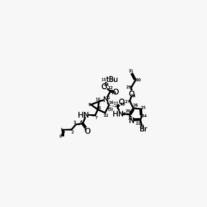 C=CCCC(=O)NCC12CC1N(C(=O)OC(C)(C)C)[C@H](C(=O)Nc1nc(Br)ccc1COCC=C)C2